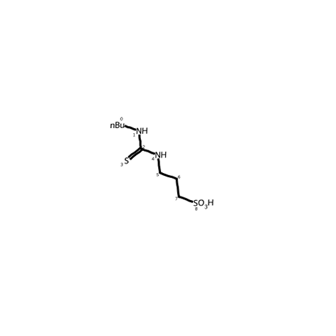 CCCCNC(=S)NCCCS(=O)(=O)O